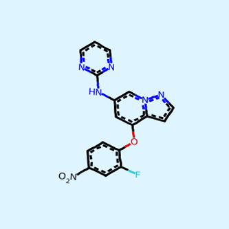 O=[N+]([O-])c1ccc(Oc2cc(Nc3ncccn3)cn3nccc23)c(F)c1